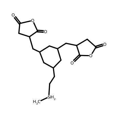 C[SiH2]CCC1CC(CC2CC(=O)OC2=O)CC(CC2CC(=O)OC2=O)C1